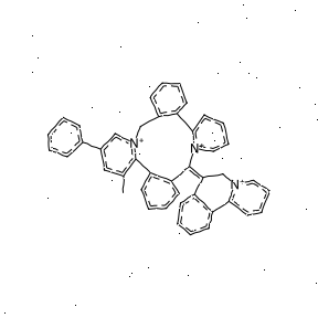 Cc1cc(-c2ccccc2)c[n+]2c1-c1ccccc1/C(=C1/C[n+]3ccccc3-c3ccccc31)[n+]1ccccc1-c1ccccc1C2